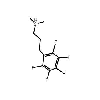 C[SiH](C)CCCc1c(F)c(F)c(F)c(F)c1F